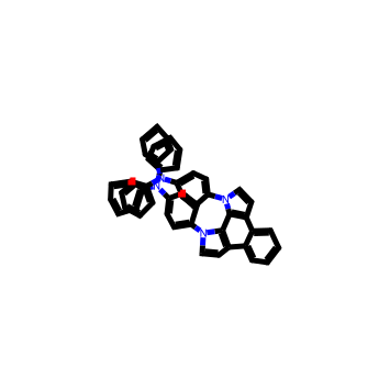 c1ccc(N(c2ccccc2)c2ccc(-n3ccc4c5ccccc5c5ccn(-c6ccc(N(c7ccccc7)c7ccccc7)cc6)c5c43)cc2)cc1